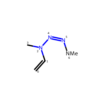 C=CN(C)/N=N\NC